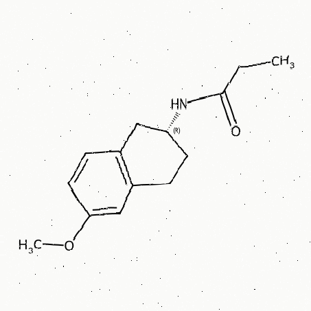 CCC(=O)N[C@@H]1CCc2cc(OC)ccc2C1